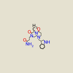 CC1C(=O)N(CCC(N)=O)CC2N(CC3CNc4ccccc43)CCC(=O)N12